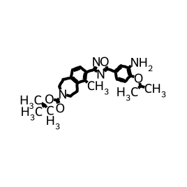 Cc1c(-c2noc(-c3ccc(OC(C)C)c(N)c3)n2)ccc2c1CCN(C(=O)OC(C)(C)C)CC2